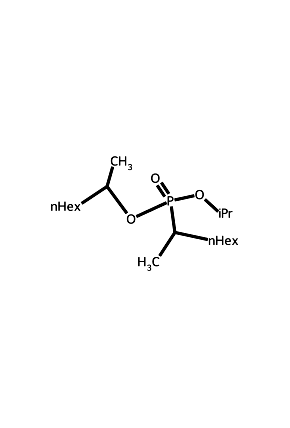 CCCCCCC(C)OP(=O)(OC(C)C)C(C)CCCCCC